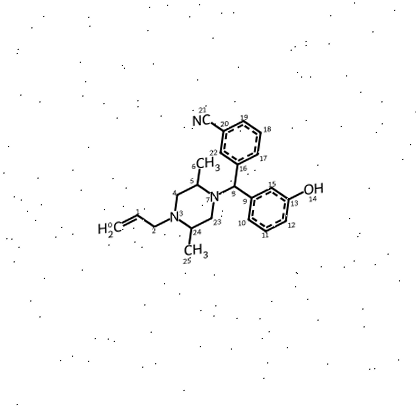 C=CCN1CC(C)N(C(c2cccc(O)c2)c2cccc(C#N)c2)CC1C